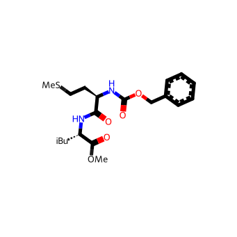 CCC(C)[C@H](NC(=O)[C@@H](CCSC)NC(=O)OCc1ccccc1)C(=O)OC